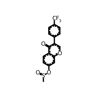 CS(=O)Oc1ccc2c(=O)c(-c3ccc(C(F)(F)F)cc3)coc2c1